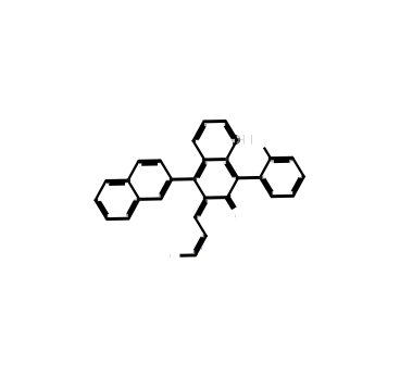 C=c1c(-c2ccccc2C=O)c2ccccc2c(-c2ccc3ccccc3c2)/c1=C/C=C\C